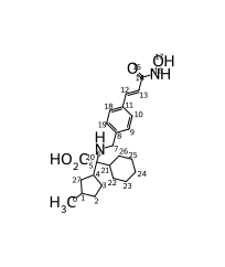 CC1CCC([C@](NCc2ccc(C=CC(=O)NO)cc2)(C(=O)O)C2CCCCC2)C1